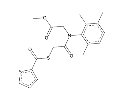 COC(=O)CN(C(=O)CSC(=O)c1cccs1)c1c(C)ccc(C)c1C